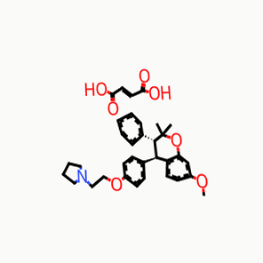 COc1ccc2c(c1)OC(C)(C)[C@@H](c1ccccc1)[C@@H]2c1ccc(OCCN2CCCC2)cc1.O=C(O)/C=C/C(=O)O